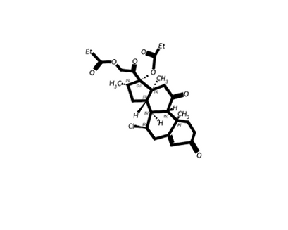 CCC(=O)OCC(=O)[C@]1(OC(=O)CC)[C@@H](C)C[C@H]2[C@@H]3[C@H](Cl)CC4=CC(=O)CC[C@]4(C)[C@H]3C(=O)C[C@@]21C